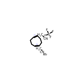 C1=C\CC/C=C\CC/1.CC#N.CC#N.F[B-](F)(F)F.[Rh]